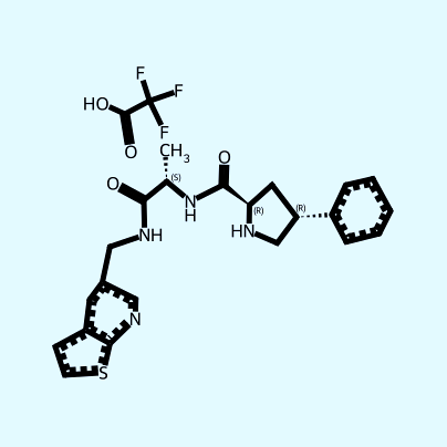 C[C@H](NC(=O)[C@H]1C[C@H](c2ccccc2)CN1)C(=O)NCc1cnc2sccc2c1.O=C(O)C(F)(F)F